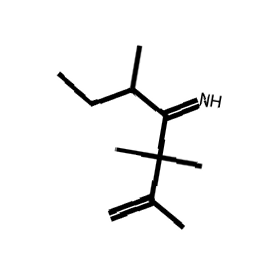 C=C(C)C(C)(C)C(=N)C(C)CC